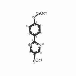 CCCCCCCCSc1ccc(-c2ncc(CCCCCCCC)cn2)cc1